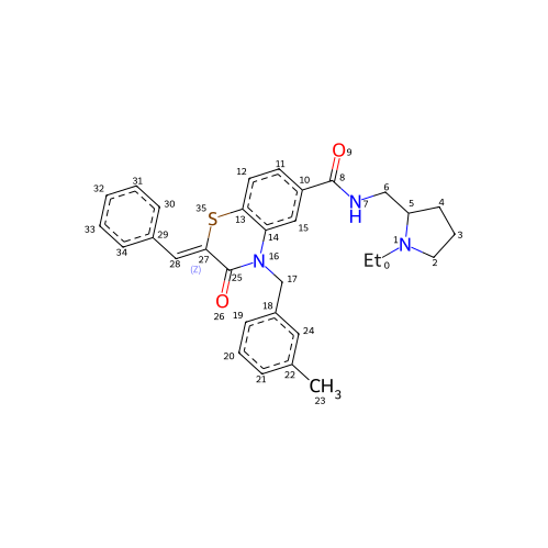 CCN1CCCC1CNC(=O)c1ccc2c(c1)N(Cc1cccc(C)c1)C(=O)/C(=C/c1ccccc1)S2